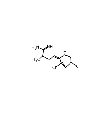 CC(C/C=C1/NC=C(Cl)C=C1Cl)C(=N)N